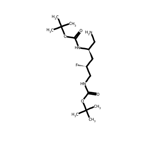 CC(C)(C)OC(=O)NC[C@H](F)C[C@H](CN)NC(=O)OC(C)(C)C